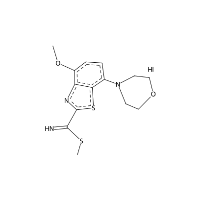 COc1ccc(N2CCOCC2)c2sc(C(=N)SC)nc12.I